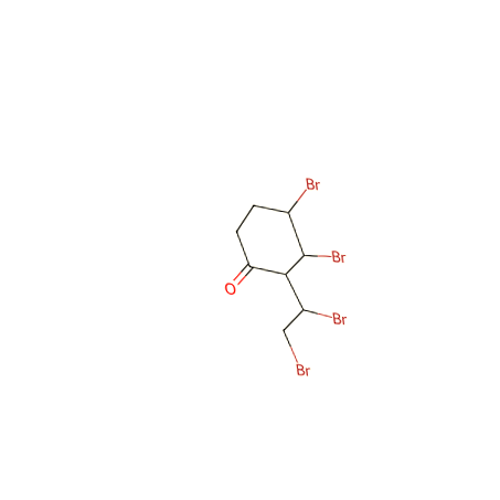 O=C1CCC(Br)C(Br)C1C(Br)CBr